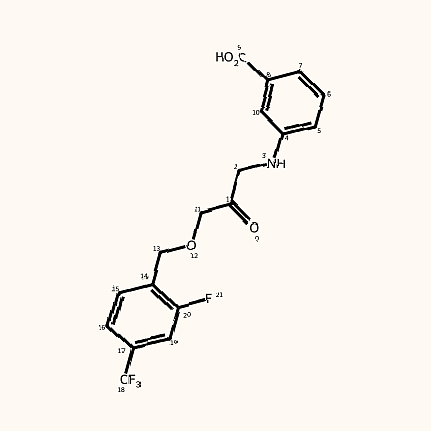 O=C(CNc1cccc(C(=O)O)c1)COCc1ccc(C(F)(F)F)cc1F